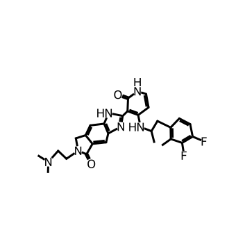 Cc1c(CC(C)Nc2cc[nH]c(=O)c2-c2nc3cc4c(cc3[nH]2)CN(CCN(C)C)C4=O)ccc(F)c1F